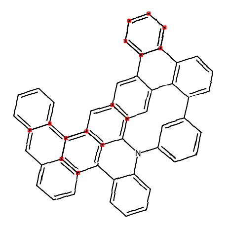 c1ccc(-c2ccc(-c3ccccc3N(c3cccc(-c4cccc(-c5ccccc5)c4-c4ccccc4-c4ccccc4)c3)c3cccc(-c4cccc5ccccc45)c3)cc2)cc1